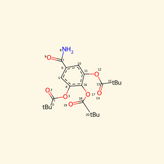 CC(C)(C)C(=O)Oc1cc(C(N)=O)cc(OC(=O)C(C)(C)C)c1OC(=O)C(C)(C)C